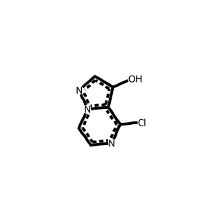 Oc1cnn2ccnc(Cl)c12